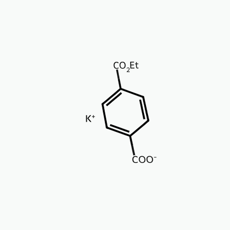 CCOC(=O)c1ccc(C(=O)[O-])cc1.[K+]